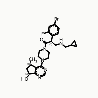 C[C@@H]1C[C@H](O)c2ncnc(N3CCN(C(=O)[C@H](CNCC4CC4)c4ccc(Br)cc4F)CC3)c21